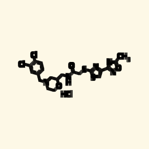 Cc1nc(-c2csc(SCC(=O)NCC3CN(Cc4ccc(Cl)c(Cl)c4)CCO3)n2)no1.Cl